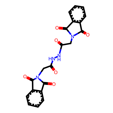 O=C(CN1C(=O)c2ccccc2C1=O)NNC(=O)CN1C(=O)c2ccccc2C1=O